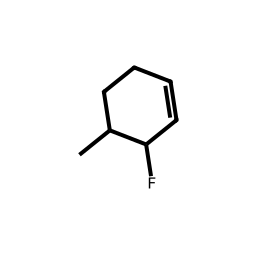 CC1CCC=CC1F